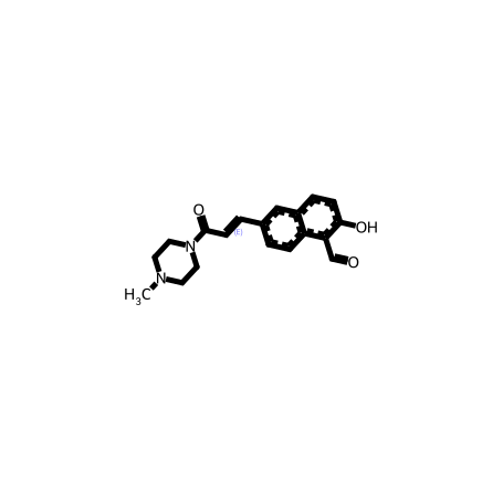 CN1CCN(C(=O)/C=C/c2ccc3c(C=O)c(O)ccc3c2)CC1